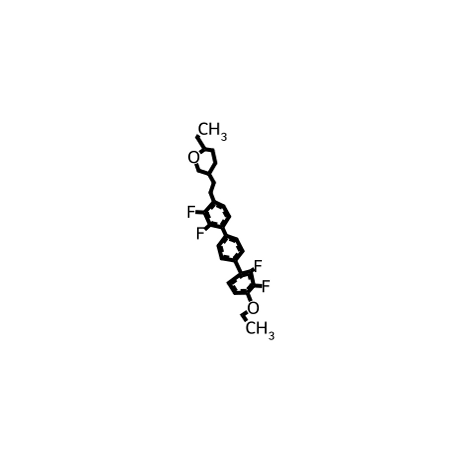 CCOc1ccc(-c2ccc(-c3ccc(CCC4CCC(CC)OC4)c(F)c3F)cc2)c(F)c1F